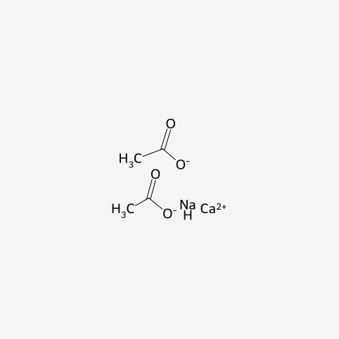 CC(=O)[O-].CC(=O)[O-].[Ca+2].[NaH]